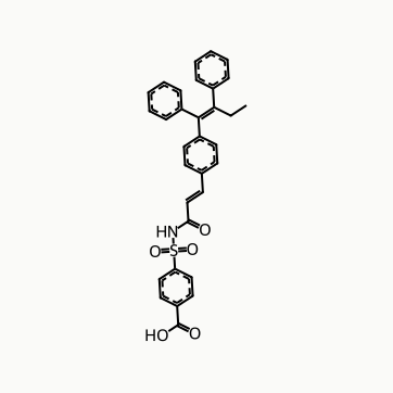 CCC(=C(c1ccccc1)c1ccc(C=CC(=O)NS(=O)(=O)c2ccc(C(=O)O)cc2)cc1)c1ccccc1